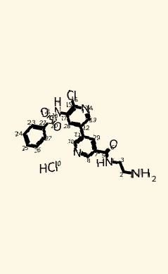 Cl.NCCNC(=O)c1cncc(-c2cnc(Cl)c(NS(=O)(=O)c3ccccc3)c2)c1